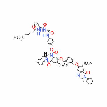 COc1cc2c(cc1OCc1cccc(COc3cc4c(cc3OC)C(=O)N3c5ccccc5C[C@H]3CN4C(=O)OCc3ccc(NC(=O)[C@@H](C)NC(=O)[C@H](NC(=O)CCCCC(=O)O)C(C)C)cc3)c1)N=CC1Cc3ccccc3N1C2=O